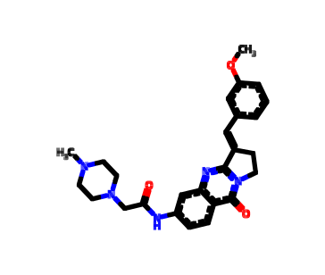 COc1cccc(C=C2CCn3c2nc2cc(NC(=O)CN4CCN(C)CC4)ccc2c3=O)c1